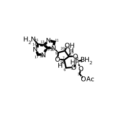 B[PH]1(OCOC(C)=O)OC[C@H]2O[C@@H](n3cnc4c(N)ncnc43)C(O)[C@@H]2O1